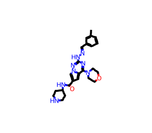 Cc1cccc(/C=N/Nc2nc(N3CCOCC3)c3cc(C(=O)NC4CCNCC4)cn3n2)c1